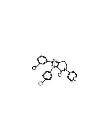 O=C1c2c(nc(-c3cccc(Cl)c3)n2-c2ccc(Cl)cc2)CCN1c1ccccc1